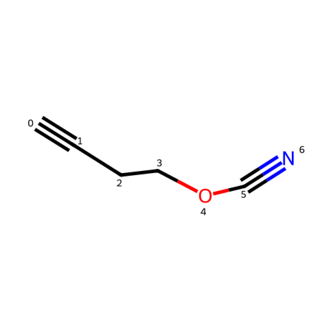 C#CCCOC#N